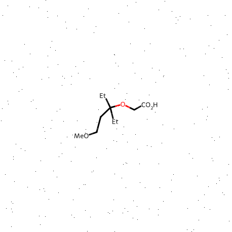 CCC(CC)(CCOC)OCC(=O)O